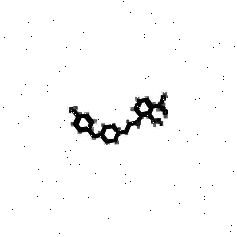 Nc1c(OCCN2CCC(Cc3ccc(Cl)cc3)CC2)cccc1[N+](=O)[O-]